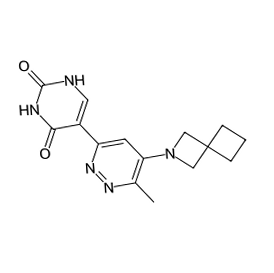 Cc1nnc(-c2c[nH]c(=O)[nH]c2=O)cc1N1CC2(CCC2)C1